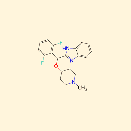 CN1CCC(OC(c2nc3ccccc3[nH]2)c2c(F)cccc2F)CC1